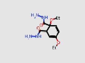 CCOC1=CC(C(=O)NN)C(OCC)(C(=O)NN)C=C1